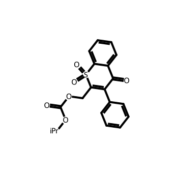 CC(C)OC(=O)OCC1=C(c2ccccc2)C(=O)c2ccccc2S1(=O)=O